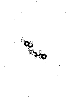 O=C(Cc1nnc(Sc2ccnc3c2=CCC(Cl)C=3)s1)c1sc2ccccc2c1Cl